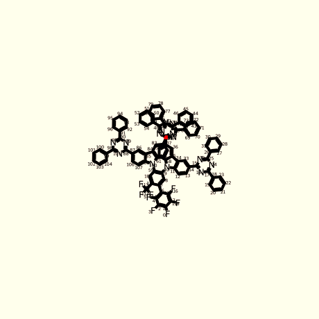 Fc1c(F)c(F)c(-c2cc(-n3c4ccc(-c5nc(-c6ccccc6)nc(-c6ccccc6)n5)cc4c4cc(-c5nc(-c6ccccc6)nc(-c6ccccc6)n5)ccc43)c(-n3c4ccc(-c5nc(-c6ccccc6)nc(-c6ccccc6)n5)cc4c4cc(-c5nc(-c6ccccc6)nc(-c6ccccc6)n5)ccc43)cc2C(F)(F)F)c(F)c1F